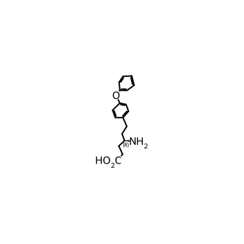 N[C@@H](CCC(=O)O)CCc1ccc(Oc2ccccc2)cc1